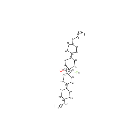 CCCC1CCC(C2CC[C@]3(CC2)C(=O)[C@@]2(CCC(C4CCC(CC)CC4)CC2)[C@H]3F)CC1